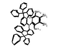 Bc1c(B)c(B)c(N(c2cccc3c2-c2ccccc2C3(c2ccccc2)c2ccccc2)c2cccc3c2-c2ccccc2C3(c2ccccc2)c2ccccc2)c(B)c1B